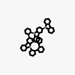 c1ccc(-n2c3ccccc3c3cc(-n4c5ccccc5c5ccccc54)ccc32)c(-c2cc3c4ccccc4c4ccccc4c4ccccc4n4c5ccccc5c(c2)c34)c1